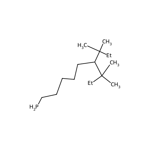 CCC(C)(C)C(CCCCCP)C(C)(C)CC